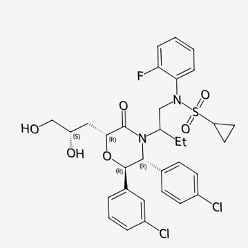 CCC(CN(c1ccccc1F)S(=O)(=O)C1CC1)N1C(=O)[C@@H](C[C@H](O)CO)O[C@H](c2cccc(Cl)c2)[C@H]1c1ccc(Cl)cc1